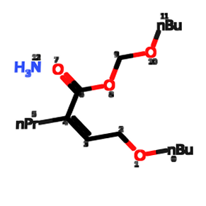 CCCCOCC=C(CCC)C(=O)OCOCCCC.N